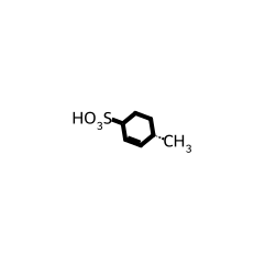 C[C@@H]1C=CC(S(=O)(=O)O)CC1